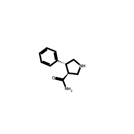 NC(=O)[C@@H]1CNC[C@H]1c1ccccc1